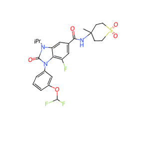 CC(C)n1c(=O)n(-c2cccc(OC(F)F)c2)c2c(F)cc(C(=O)NC3(C)CCS(=O)(=O)CC3)cc21